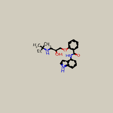 CCC(C)(C)NCC(O)COc1ccccc1C(=O)Nc1cccc2[nH]ccc12